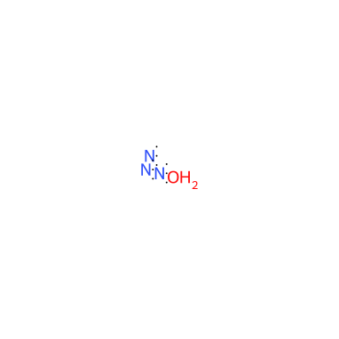 O.[N].[N].[N]